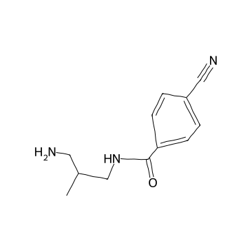 CC(CN)CNC(=O)c1ccc(C#N)cc1